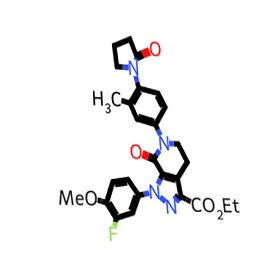 CCOC(=O)c1nn(-c2ccc(OC)c(F)c2)c2c1CCN(c1ccc(N3CCCC3=O)c(C)c1)C2=O